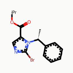 CC(C)OC(=O)c1cnc(Br)n1[C@H](C)c1ccccc1